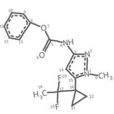 Cn1nc(NC(=O)Oc2ccccc2)cc1C1(C(C)(F)F)CC1